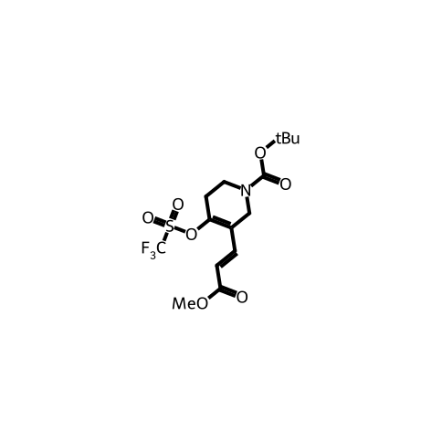 COC(=O)C=CC1=C(OS(=O)(=O)C(F)(F)F)CCN(C(=O)OC(C)(C)C)C1